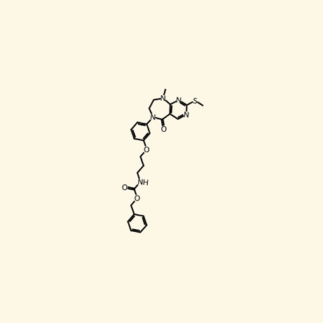 CSc1ncc2c(n1)N(C)CCN(c1cccc(OCCCNC(=O)OCc3ccccc3)c1)C2=O